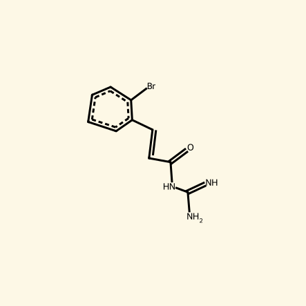 N=C(N)NC(=O)C=Cc1ccccc1Br